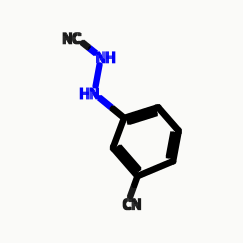 N#CNNc1cccc(C#N)c1